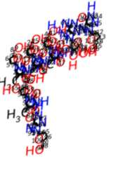 Cc1cn([C@H]2C=C[C@@H](CO)O2)c(=O)[nH]c1=O.Cc1cn([C@H]2C=C[C@@H](CO)O2)c(=O)[nH]c1=O.Cc1cn([C@H]2C=C[C@@H](CO)O2)c(=O)[nH]c1=O.Cc1cn([C@H]2C[C@H](O)[C@@H](CO)O2)c(=O)[nH]c1=O.Nc1ncnc2c1ncn2[C@@H]1O[C@H](CO)[C@@H](O)[C@H]1O.O=c1[nH]cnc2c1ncn2[C@H]1CC[C@@H](CO)O1.O=c1[nH]cnc2c1ncn2[C@H]1CC[C@@H](CO)O1